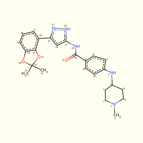 CN1CCC(Nc2ccc(C(=O)Nc3cc(-c4cccc5c4OC(C)(C)O5)n[nH]3)cc2)CC1